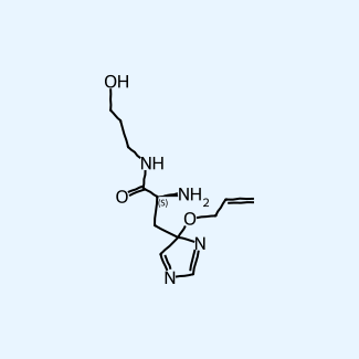 C=CCOC1(C[C@H](N)C(=O)NCCCO)C=NC=N1